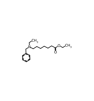 CCOC(=O)CCCCCCN(CC)Cc1ccccc1